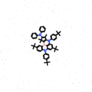 CC1=C(N(c2ccccc2)c2ccccc2)C(C)(C)C2=C1N(c1ccc(C(C)(C)C)cc1)c1cc(C(C)(C)C)cc3c1B2c1cc(C(C)(C)C)ccc1N3c1ccc(C(C)(C)C)cc1